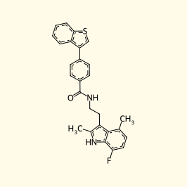 Cc1[nH]c2c(F)ccc(C)c2c1CCNC(=O)c1ccc(-c2csc3ccccc23)cc1